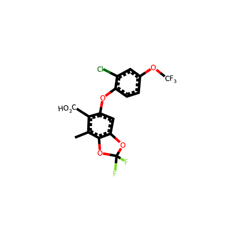 Cc1c2c(cc(Oc3ccc(OC(F)(F)F)cc3Cl)c1C(=O)O)OC(F)(F)O2